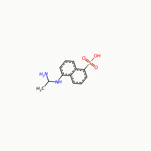 CC(N)Nc1cccc2c(S(=O)(=O)O)cccc12